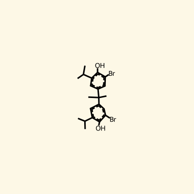 CC(C)c1cc(C(C)(C)c2cc(Br)c(O)c(C(C)C)c2)cc(Br)c1O